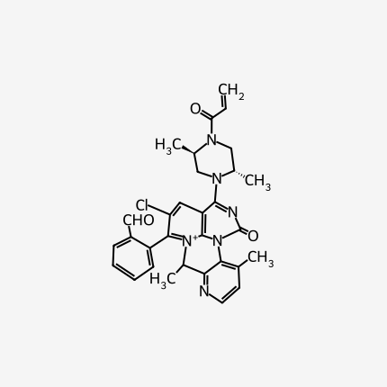 C=CC(=O)N1C[C@H](C)N(c2nc(=O)n3c4c2cc(Cl)c(-c2ccccc2C=O)[n+]4C(C)c2nccc(C)c2-3)C[C@H]1C